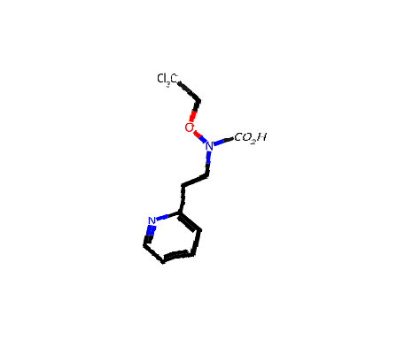 O=C(O)N(CCc1ccccn1)OCC(Cl)(Cl)Cl